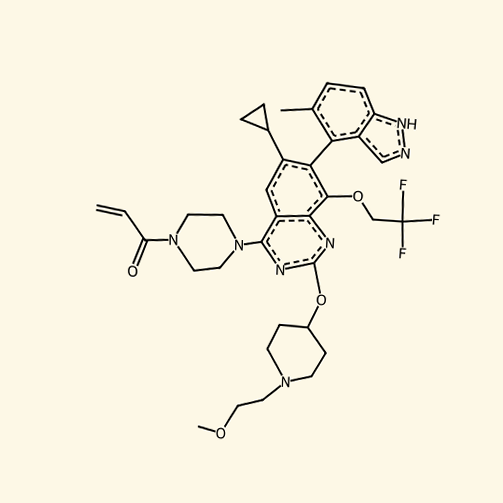 C=CC(=O)N1CCN(c2nc(OC3CCN(CCOC)CC3)nc3c(OCC(F)(F)F)c(-c4c(C)ccc5[nH]ncc45)c(C4CC4)cc23)CC1